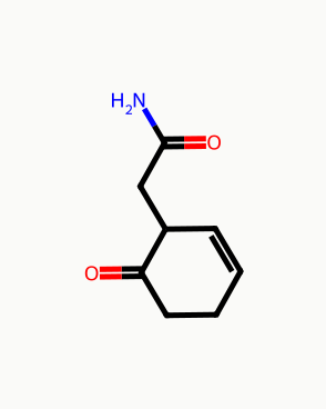 NC(=O)CC1C=CCCC1=O